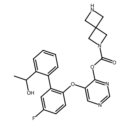 CC(O)c1ccccc1-c1cc(F)ccc1Oc1cncnc1OC(=O)N1CC2(CNC2)C1